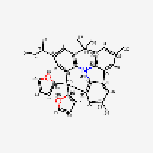 CCC(C)c1cc2c3c(c1)C(c1ccco1)(c1ccco1)c1cc(C)cc4c5cc(C)cc(c5n-3c14)C2(C)C